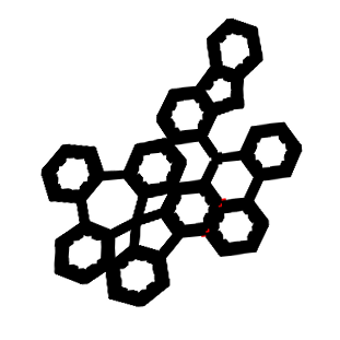 c1ccc(-c2ccccc2N(c2ccc3c(c2)C2(c4ccccc4-c4ccccc4-c4ccccc42)c2ccccc2-3)c2cccc3c2oc2ccccc23)cc1